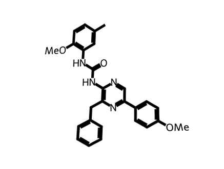 COc1ccc(-c2cnc(NC(=O)Nc3cc(C)ccc3OC)c(Cc3ccccc3)n2)cc1